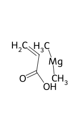 C=CC(=O)O.[CH3][Mg][CH3]